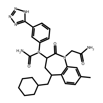 Cc1ccc2c(c1)N(CC(N)=O)C(=O)C(N(C(N)=O)c1cccc(-c3nnn[nH]3)c1)CC2CC1CCCCC1